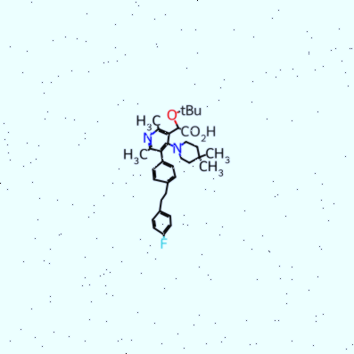 Cc1nc(C)c(C(OC(C)(C)C)C(=O)O)c(N2CCC(C)(C)CC2)c1-c1ccc(CCc2ccc(F)cc2)cc1